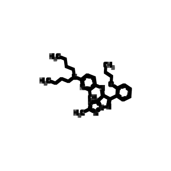 CCCCN(CCCC)c1ccc(/N=C2/C(c3ccccc3OCCC)=Nn3nc(C)nc32)c(C)n1